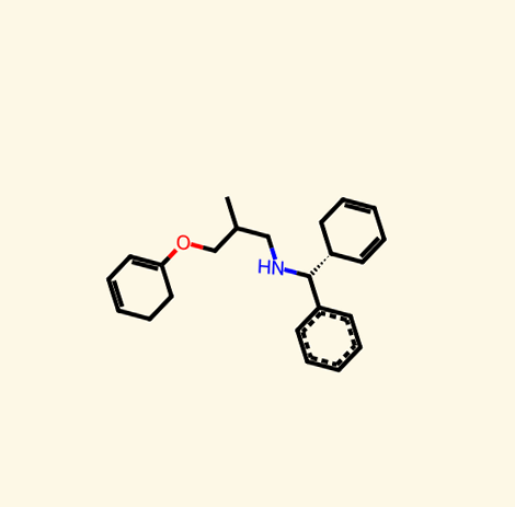 CC(CNC(c1ccccc1)[C@H]1C=CC=CC1)COC1=CC=CCC1